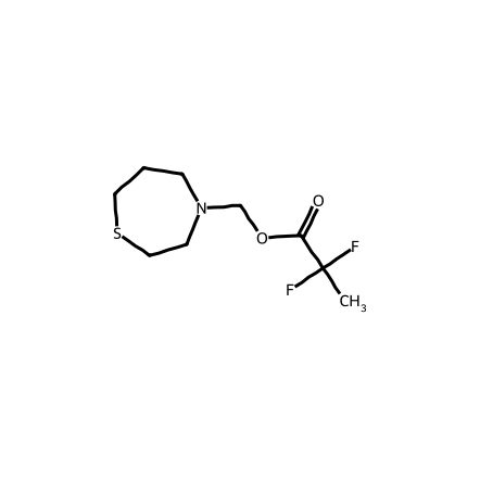 CC(F)(F)C(=O)OCN1CCCSCC1